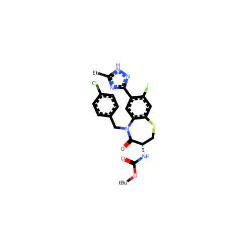 CCc1nc(-c2cc3c(cc2F)SC[C@H](NC(=O)OC(C)(C)C)C(=O)N3Cc2ccc(Cl)cc2)n[nH]1